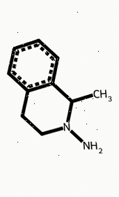 CC1c2ccccc2CCN1N